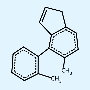 Cc1ccccc1-c1c(C)ccc2c1C=CC2